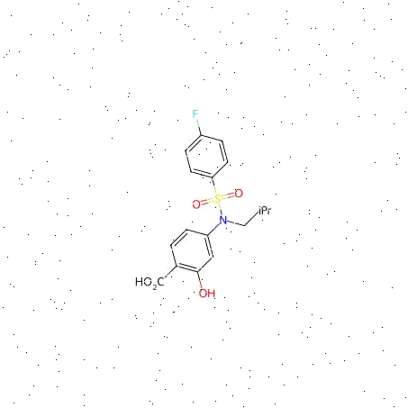 CC(C)CN(c1ccc(C(=O)O)c(O)c1)S(=O)(=O)c1ccc(F)cc1